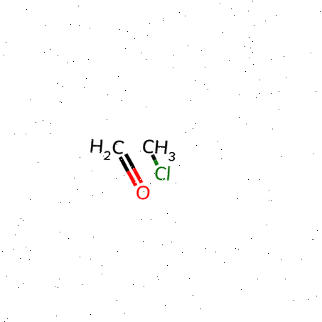 C=O.CCl